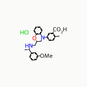 COc1cccc([C@@H](C)NCC2CN(c3ccc(C)c(C(=O)O)c3)c3ccccc3O2)c1.Cl